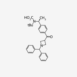 C[C@@H](c1ccc(C(=O)C2CN(C(c3ccccc3)c3ccccc3)C2)cc1)N(C(=O)O)C(C)(C)C